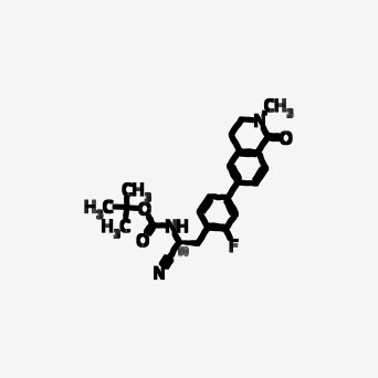 CN1CCc2cc(-c3ccc(C[C@@H](C#N)NC(=O)OC(C)(C)C)c(F)c3)ccc2C1=O